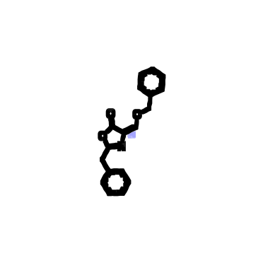 O=C1OC(Cc2ccccc2)=N/C1=C/OCc1ccccc1